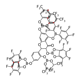 O=C1c2c(OB(c3c(F)c(F)c(F)c(F)c3F)c3c(F)c(F)c(F)c(F)c3F)cc(OB(Oc3cc(C(F)(F)F)cc(C(F)(F)F)c3)Oc3cc(C(F)(F)F)cc(C(F)(F)F)c3)cc2OC(c2ccc(OB(Oc3c(F)c(F)c(F)c(F)c3F)Oc3c(F)c(F)c(F)c(F)c3F)cc2OB(OC(C(F)(F)F)C(F)(F)F)OC(C(F)(F)F)C(F)(F)F)C1OB1Oc2c(F)c(F)c(F)c(F)c2O1